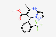 COC(=O)C1=C(C)Nc2ccnn2C1c1ccccc1C(F)(F)F